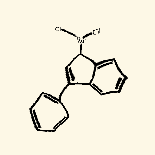 [Cl][Ru-]([Cl])[CH]1C=C(c2ccccc2)c2ccccc21